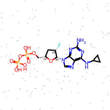 Nc1nc(NC2CC2)c2ncn([C@@H]3O[C@H](COP(=O)(O)OP(=O)(O)O)C[C@@H]3F)c2n1